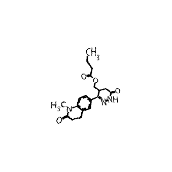 CCCC(=O)OCC1CC(=O)NN=C1c1ccc2c(c1)CCC(=O)N2C